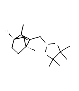 CC1=C(CB2OC(C)(C)C(C)(C)O2)[C@@H]2CC[C@H]1C2